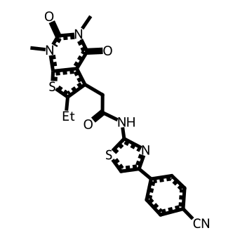 CCc1sc2c(c1CC(=O)Nc1nc(-c3ccc(C#N)cc3)cs1)c(=O)n(C)c(=O)n2C